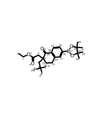 CCOC(=O)CC1(CC(F)(F)F)CCc2cc(B3OC(C)(C)C(C)(C)O3)ccc2C1=O